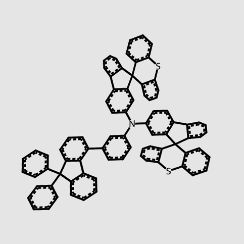 c1ccc(C2(c3ccccc3)c3ccccc3-c3c(-c4cccc(N(c5ccc6c(c5)C5(c7ccccc7Sc7ccccc75)c5ccccc5-6)c5ccc6c(c5)C5(c7ccccc7Sc7ccccc75)c5ccccc5-6)c4)cccc32)cc1